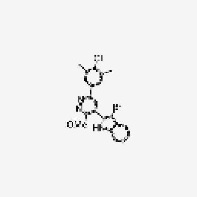 COc1nnc(-c2cc(C)c(O)c(C)c2)cc1-c1[nH]c2ccccc2c1Br